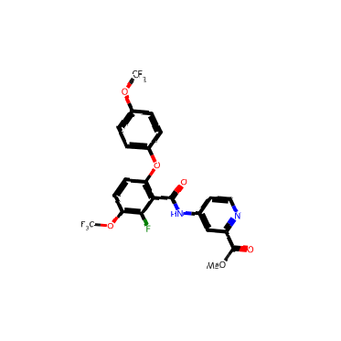 COC(=O)c1cc(NC(=O)c2c(Oc3ccc(OC(F)(F)F)cc3)ccc(OC(F)(F)F)c2F)ccn1